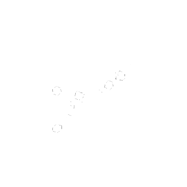 COCOC(C)c1ccc(-c2ccc(N3CCC(Cc4nc(C)c(OCc5ccccc5)c(C(=O)NCC(=O)OCc5ccccc5)n4)CC3)cc2)nc1